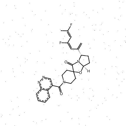 C=C(/C=C(F)\C=C(/C)F)[C@@H]1CC[C@H]2OC3(CCN(C(=O)c4cnnc5ccccc45)CC3)C(=O)N21